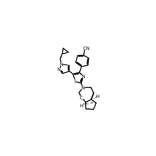 N#Cc1ccc(-c2nc(N3CC[C@H]4CCC[C@H]4CC3)sc2-c2cnn(CC3CC3)c2)cc1